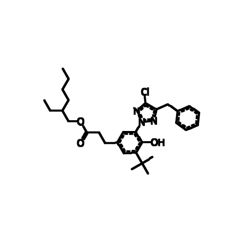 CCCCC(CC)COC(=O)CCc1cc(-n2nc(Cl)c(Cc3ccccc3)n2)c(O)c(C(C)(C)C)c1